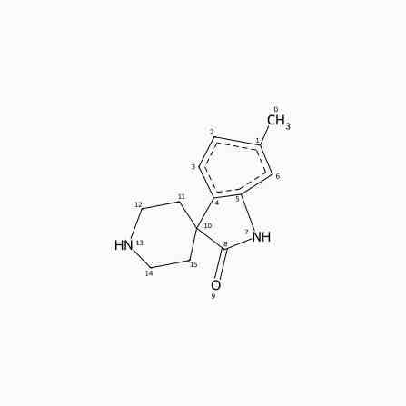 Cc1ccc2c(c1)NC(=O)C21CCNCC1